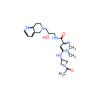 C=N/C(=C\C(=N/C)C(=O)NC[C@H](O)CN1CCc2ncccc2C1)NC1CN(C(C)=O)C1